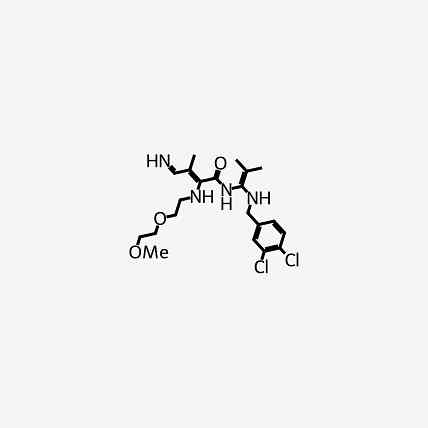 COCCOCCN/C(C(=O)NC(NCc1ccc(Cl)c(Cl)c1)=C(C)C)=C(/C)C=N